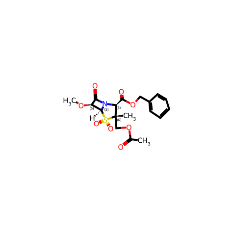 CO[C@H]1C(=O)N2[C@@H](C(=O)OCc3ccccc3)[C@](C)(COC(C)=O)S(=O)(=O)[C@@H]12